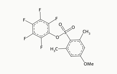 COc1cc(C)c(S(=O)(=O)Oc2c(F)c(F)c(F)c(F)c2F)c(C)c1